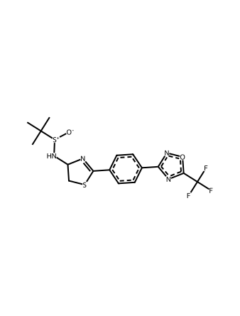 CC(C)(C)[S+]([O-])NC1CSC(c2ccc(-c3noc(C(F)(F)F)n3)cc2)=N1